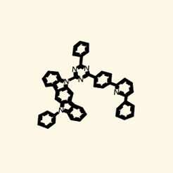 c1ccc(-c2cccc(-c3ccc(-c4nc(-c5ccccc5)nc(-n5c6ccccc6c6cc7c(cc65)c5ccccc5n7-c5ccccc5)n4)cc3)n2)cc1